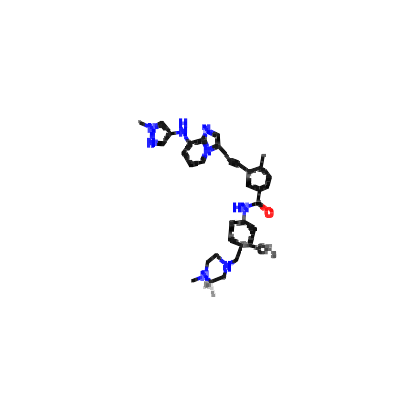 Cc1ccc(C(=O)Nc2ccc(CN3CCN(C)[C@@H](C)C3)c(C(F)(F)F)c2)cc1C#Cc1cnc2c(Nc3cnn(C)c3)cccn12